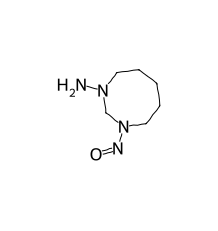 NN1CCCCCN(N=O)C1